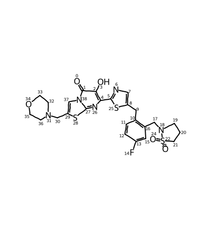 O=c1c(O)c(-c2ncc(Cc3ccc(F)cc3CN3CCCS3(=O)=O)s2)nc2sc(CN3CCOCC3)cn12